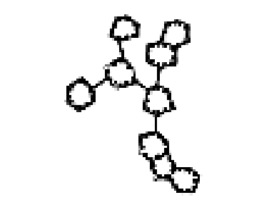 c1ccc(-c2nc(-c3ccccc3)nc(-c3cc(-c4cnc5sc6ccccc6c5c4)ccc3-c3ccc4ccccc4c3)n2)cc1